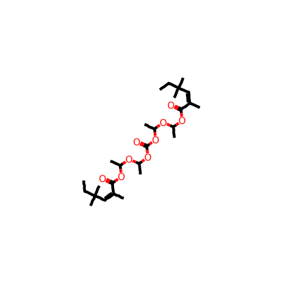 CCC(C)(C)/C=C(/C)C(=O)OC(C)OC(C)OC(=O)OC(C)OC(C)OC(=O)/C(C)=C\C(C)(C)CC